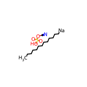 CCCCCCCCCCCC[CH2][Na].N#COS(=O)(=O)O